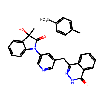 CC1(O)C(=O)N(c2cncc(Cc3n[nH]c(=O)c4ccccc34)c2)c2ccccc21.Cc1ccc(S(=O)(=O)O)cc1